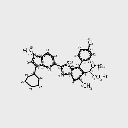 CCOC(=O)[C@@H](OC(C)(C)C)c1c(C)cc2nc(-c3ccc4c(n3)c(C3CCCCC3)cn4C)sc2c1-c1ccc(Cl)cc1